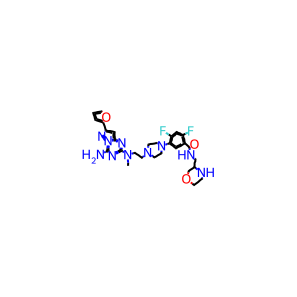 CN(CCN1CCN(c2cc(C(=O)NCC3COCCN3)c(F)cc2F)CC1)c1nc(N)n2nc(-c3ccco3)cc2n1